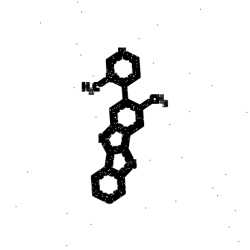 Cc1cc2c(cc1-c1ccnc[n+]1C)sc1c3ccccc3sc21